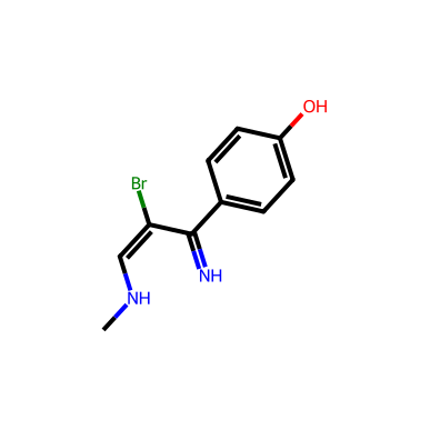 CN/C=C(/Br)C(=N)c1ccc(O)cc1